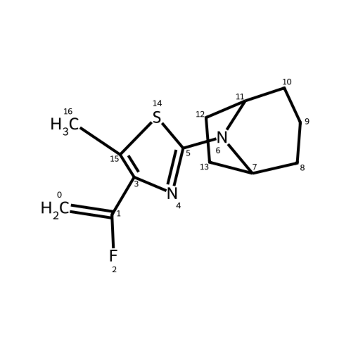 C=C(F)c1nc(N2C3CCCC2CC3)sc1C